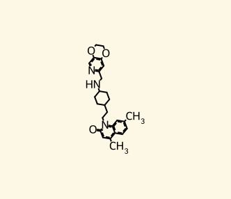 Cc1ccc2c(C)cc(=O)n(CCC3CCC(NCc4cc5c(cn4)OCCO5)CC3)c2c1